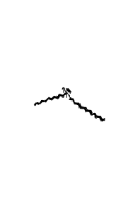 CCCCCCCCCCCCCCN1C=CN(C)C1CCCCCCCCCCC